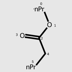 [CH2]C[CH]OC(=O)CCCC